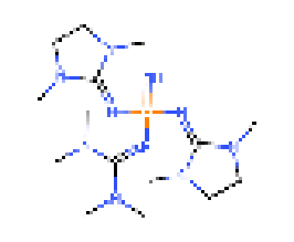 CN(C)C(=NP(=N)(N=C1N(C)CCN1C)N=C1N(C)CCN1C)N(C)C